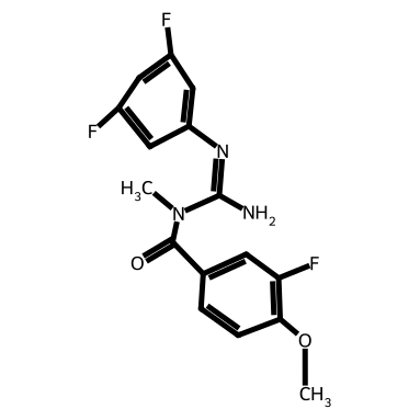 COc1ccc(C(=O)N(C)/C(N)=N\c2cc(F)cc(F)c2)cc1F